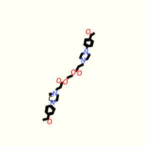 CC(=O)c1ccc(N2CCN(CCC(=O)OCCOC(=O)CCN3CCN(c4ccc(C(C)=O)cc4)CC3)CC2)cc1